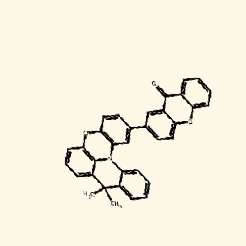 CC1(C)c2ccccc2N2c3cc(-c4ccc5oc6ccccc6c(=O)c5c4)ccc3Oc3cccc1c32